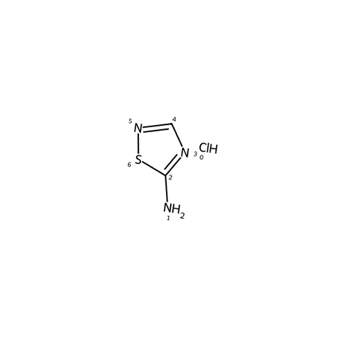 Cl.Nc1ncns1